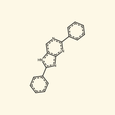 c1ccc(-c2ncc3[nH]c(-c4ccccc4)nc3n2)cc1